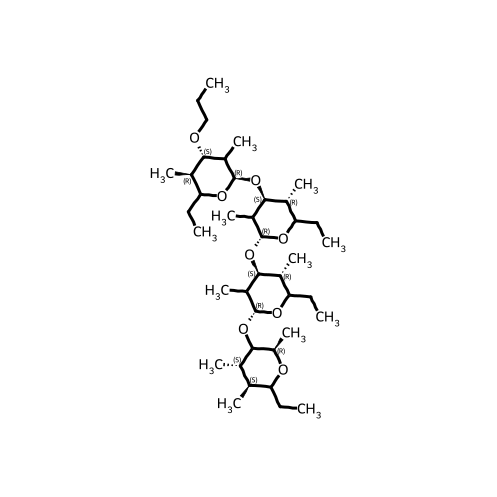 CCCO[C@@H]1C(C)[C@@H](O[C@@H]2C(C)[C@@H](O[C@@H]3C(C)[C@@H](OC4[C@@H](C)[C@H](C)C(CC)O[C@@H]4C)OC(CC)[C@H]3C)OC(CC)[C@H]2C)OC(CC)[C@H]1C